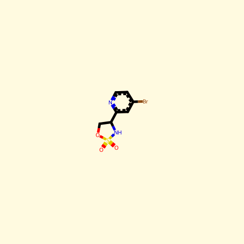 O=S1(=O)NC(c2cc(Br)ccn2)CO1